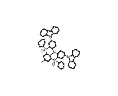 Cc1cc2c3c(c1)P(=O)(c1ccccc1)c1cc(-n4c5ccccc5c5ccccc54)ccc1N3c1ccc(-n3c4ccccc4c4ccccc43)cc1P2(=O)c1ccccc1